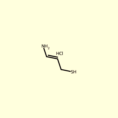 Cl.NC=CCS